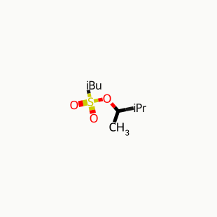 CCC(C)S(=O)(=O)OC(C)C(C)C